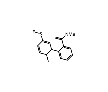 C=C(NC)c1ccccc1C1C=C(SF)C=CC1C